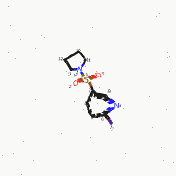 O=S(=O)(c1ccc(I)nc1)N1CCCC1